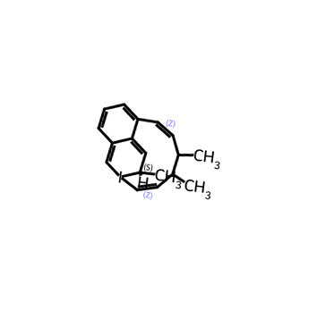 CC1/C=C\c2cccc3c2=C[C@H](C)I(C=3)/C=C\C1C